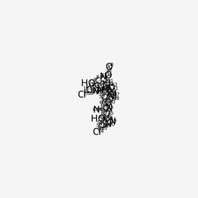 COCCOc1nc2ccc(C(O)(c3ccc(Cl)cc3)c3cncn3C)cc2c(Cl)c1Cc1ccc(N2CCC(COc3nc4ccc(C(O)(c5ccc(Cl)cc5)c5cncn5C)cc4c(C#N)c3Cc3ccc(C(F)(F)F)cc3)=N2)cc1